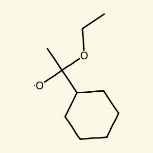 CCOC(C)([O])C1CCCCC1